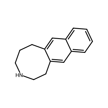 c1ccc2cc3c(cc2c1)CCCNCC3